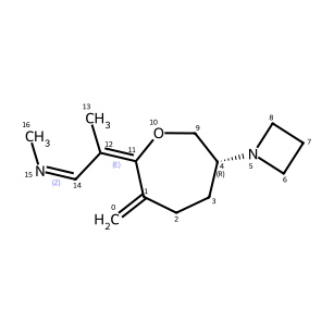 C=C1CC[C@@H](N2CCC2)CO/C1=C(C)/C=N\C